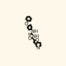 O=C(NC(=S)Nc1ccc(Oc2ccccc2)cc1)c1cc2cnccc2o1